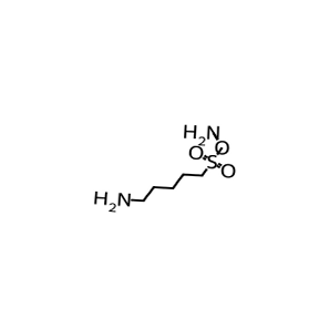 NCCCCCS(=O)(=O)ON